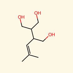 CC(C)=CC(CO)C(CO)CO